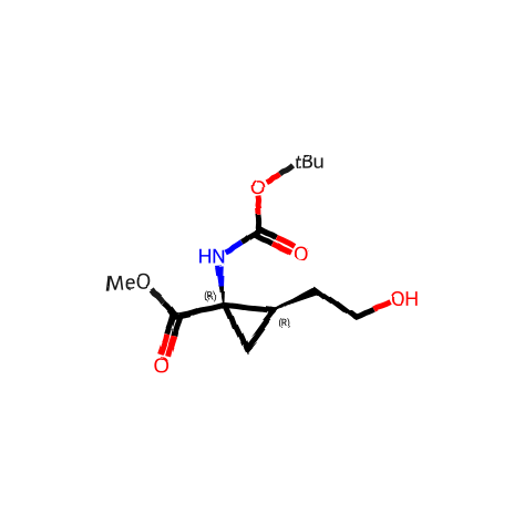 COC(=O)[C@@]1(NC(=O)OC(C)(C)C)C[C@@H]1CCO